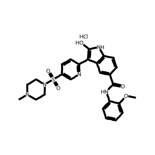 COc1ccccc1NC(=O)c1ccc2[nH]c(O)c(-c3ccc(S(=O)(=O)N4CCN(C)CC4)cn3)c2c1.Cl